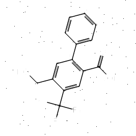 O=C(O)c1cc(C(F)(F)F)c(CO)cc1-c1ccccc1